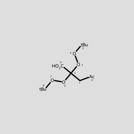 CC(=O)CC(OOC(C)(C)C)(OOC(C)(C)C)C(=O)O